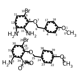 COc1ccc(COc2c(Br)ccc(N)c2N)cc1.COc1ccc(COc2c(Br)ccc(N)c2[N+](=O)[O-])cc1